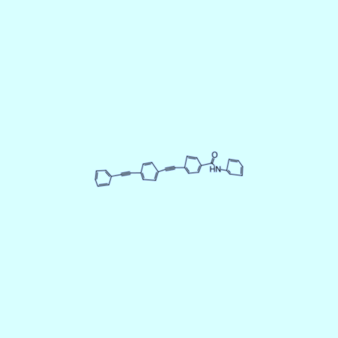 O=C(Nc1ccccc1)c1ccc(C#Cc2ccc(C#Cc3ccccc3)cc2)cc1